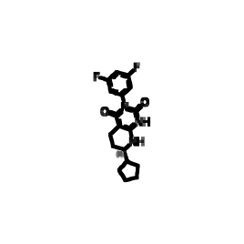 O=c1[nH]c2c(c(=O)n1-c1cc(F)cc(F)c1)CC[C@H](C1CCCC1)N2